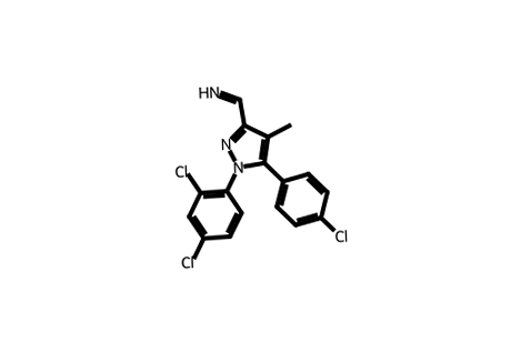 Cc1c(C=N)nn(-c2ccc(Cl)cc2Cl)c1-c1ccc(Cl)cc1